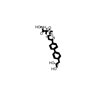 C[C@@](C[C@H]1CC(c2ccc(-c3ccc(C[C@@H](O)CO)cc3)cc2)=NO1)(C(=O)NO)S(C)(=O)=O